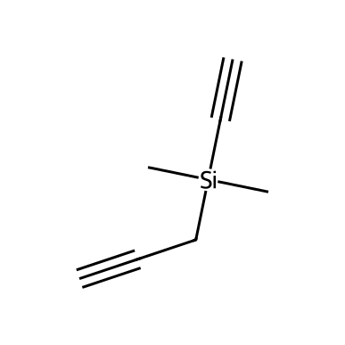 C#CC[Si](C)(C)C#C